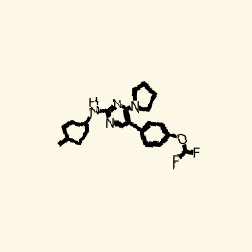 CC1CCC(Nc2ncc(-c3ccc(OC(F)F)cc3)c(N3CCCC3)n2)CC1